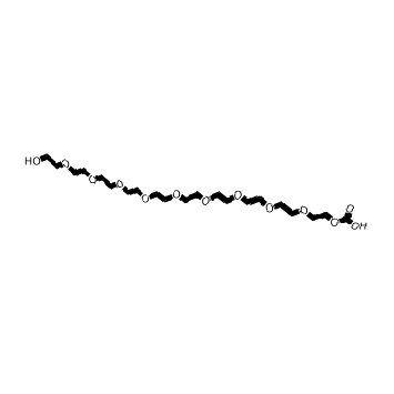 O=C(O)OCCOCCOCCOCCOCCOCCOCCOCCOCCOCCO